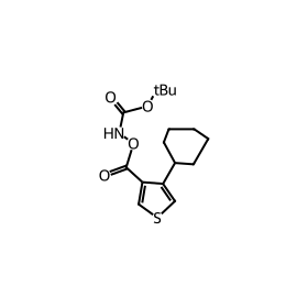 CC(C)(C)OC(=O)NOC(=O)c1cscc1C1CCCCC1